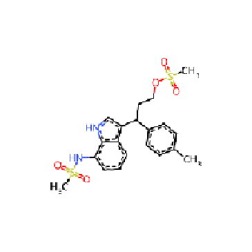 Cc1ccc(C(CCOS(C)(=O)=O)c2c[nH]c3c(NS(C)(=O)=O)cccc23)cc1